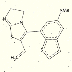 C=CC1=C(c2cc(SC)cc3ccsc23)N2CCN=C2S1